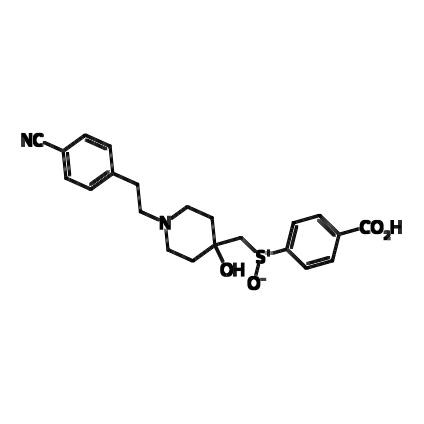 N#Cc1ccc(CCN2CCC(O)(C[S+]([O-])c3ccc(C(=O)O)cc3)CC2)cc1